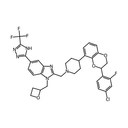 Fc1cc(Cl)ccc1C1COc2cccc(C3CCN(Cc4nc5cc(-c6nnc(C(F)(F)F)[nH]6)ccc5n4CC4CCO4)CC3)c2O1